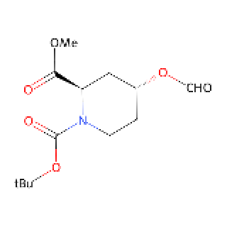 COC(=O)[C@H]1C[C@H](OC=O)CCN1C(=O)OC(C)(C)C